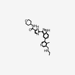 CCNCc1cncc(-c2ccc3[nH]nc(-c4ncc(C(=O)NC5CCOCC5)[nH]4)c3c2)c1C